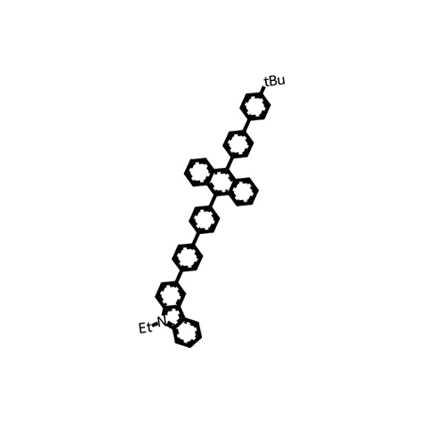 CCn1c2ccccc2c2cc(-c3ccc(-c4ccc(-c5c6ccccc6c(-c6ccc(-c7ccc(C(C)(C)C)cc7)cc6)c6ccccc56)cc4)cc3)ccc21